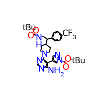 CC(C)(C)OC(=O)NCC(c1ccc(C(F)(F)F)cc1)C1CCN(c2ncnc(N)c2-c2cnn(C(=O)OC(C)(C)C)c2)CC1